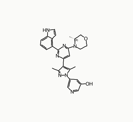 Cc1nn(-c2cncc(O)c2)c(C)c1-c1cc(N2CCOC[C@H]2C)nc(-c2cccc3[nH]ccc23)n1